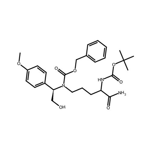 COc1ccc([C@H](CO)N(CCCC(NC(=O)OC(C)(C)C)C(N)=O)C(=O)OCc2ccccc2)cc1